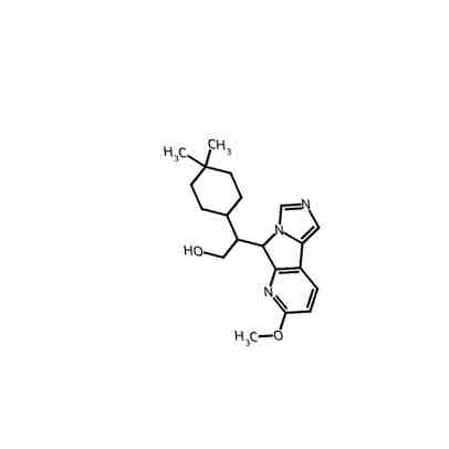 COc1ccc2c(n1)C(C(CO)C1CCC(C)(C)CC1)n1cncc1-2